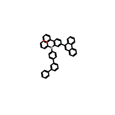 c1ccc(-c2cccc(-c3ccc(N(c4ccccc4)c4cc(-c5cc6ccccc6c6ccccc56)ccc4-c4ccccc4)cc3)c2)cc1